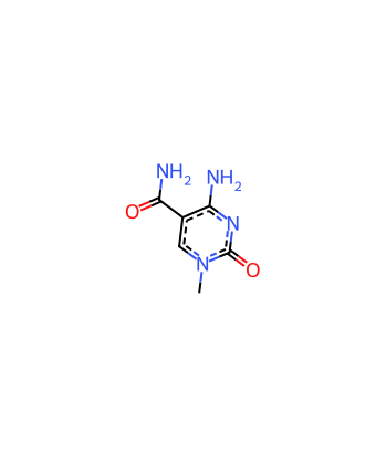 Cn1cc(C(N)=O)c(N)nc1=O